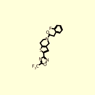 O=C(Cc1ccccc1F)N1CCc2sc(-c3noc(C(F)(F)F)n3)cc2C1